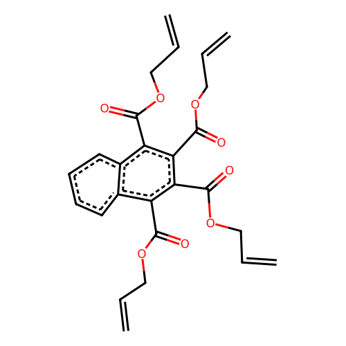 C=CCOC(=O)c1c(C(=O)OCC=C)c(C(=O)OCC=C)c2ccccc2c1C(=O)OCC=C